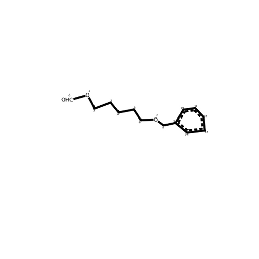 O=COCCCCCOCc1ccccc1